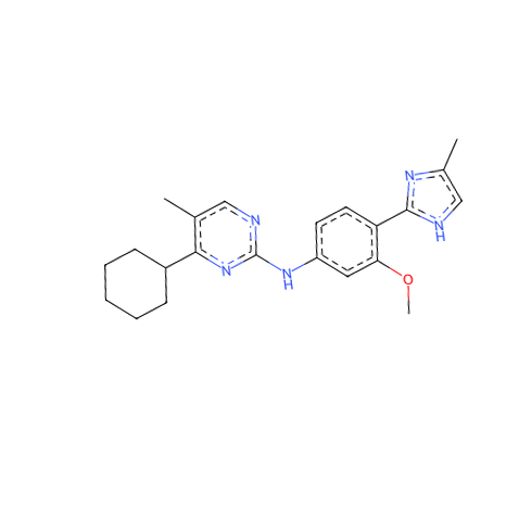 COc1cc(Nc2ncc(C)c(C3CCCCC3)n2)ccc1-c1nc(C)c[nH]1